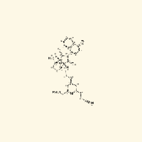 C#CCSc1nc(COC)cc(OCC[C@]23CC[C@](C)(O2)[C@@H]2C(=O)N(c4ccc(C#N)c5ccccc45)C(=O)[C@@H]23)n1